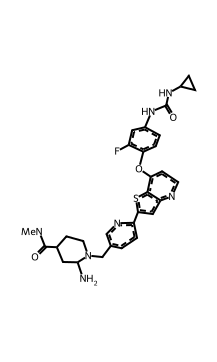 CNC(=O)C1CCN(Cc2ccc(-c3cc4nccc(Oc5ccc(NC(=O)NC6CC6)cc5F)c4s3)nc2)C(N)C1